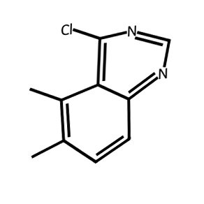 Cc1ccc2ncnc(Cl)c2c1C